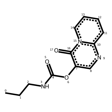 CCCNC(=O)Oc1cnc2ccccn2c1=O